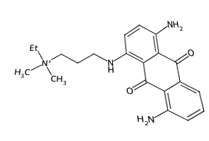 CC[N+](C)(C)CCCNc1ccc(N)c2c1C(=O)c1c(N)cccc1C2=O